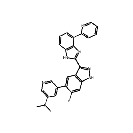 CN(C)c1cncc(-c2cc3c(-c4nc5c(-c6ccccn6)nccc5[nH]4)n[nH]c3cc2F)c1